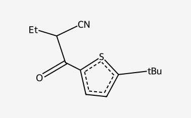 CCC(C#N)C(=O)c1ccc(C(C)(C)C)s1